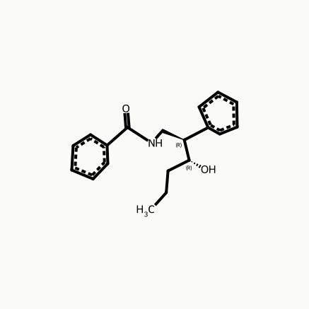 CCC[C@@H](O)[C@@H](CNC(=O)c1ccccc1)c1ccccc1